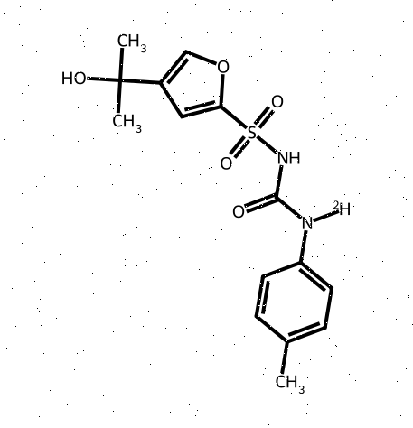 [2H]N(C(=O)NS(=O)(=O)c1cc(C(C)(C)O)co1)c1ccc(C)cc1